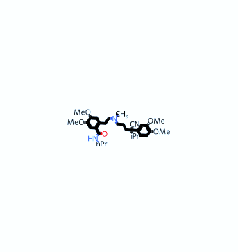 CCCNC(=O)c1cc(OC)c(OC)cc1CCN(C)CCCC(C#N)(c1ccc(OC)c(OC)c1)C(C)C